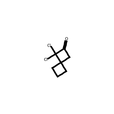 O=C1CC2(CCC2)C1(Cl)Cl